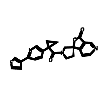 O=C1O[C@]2(CCN(C(=O)C3(c4ccc(-c5ccsc5)nc4)CC3)C2)c2ccncc21